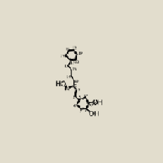 ON=C(/C=C/c1ccc(O)c(O)c1)CCCCc1ccccc1